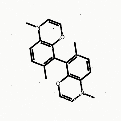 Cc1ccc2c(c1-c1c(C)ccc3c1OC=CN3C)OC=CN2C